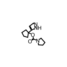 O=C(OC1(c2ccn[nH]2)CCCC1)N1CCCC1